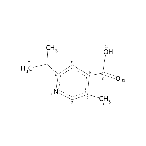 Cc1cnc(C(C)C)cc1C(=O)O